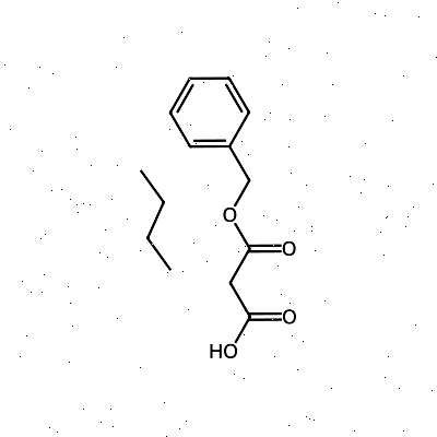 CCCC.O=C(O)CC(=O)OCc1ccccc1